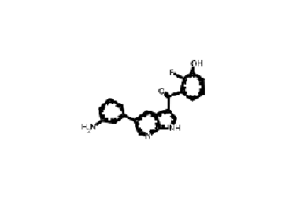 Nc1cccc(-c2cnc3[nH]cc(C(=O)c4cccc(O)c4F)c3c2)c1